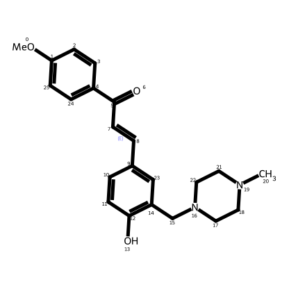 COc1ccc(C(=O)/C=C/c2ccc(O)c(CN3CCN(C)CC3)c2)cc1